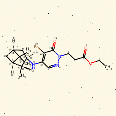 CCOC(=O)CCn1ncc(N[C@@H]2C[C@@H]3C[C@H]([C@H]2C)C3(C)C)c(Br)c1=O